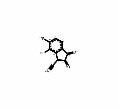 N#CC1C(=O)C(=O)c2ccc(F)c(F)c21